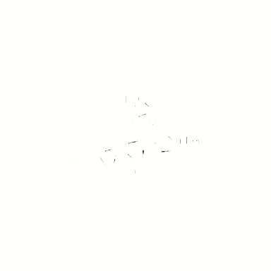 C=CC(=O)OCc1cc(CCCCC)ccc1-c1ccc(-c2ccc(CCO)cc2)c(CC)c1